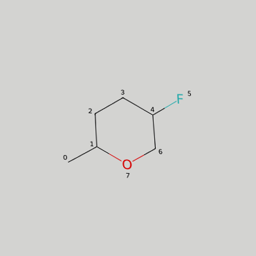 CC1CCC(F)CO1